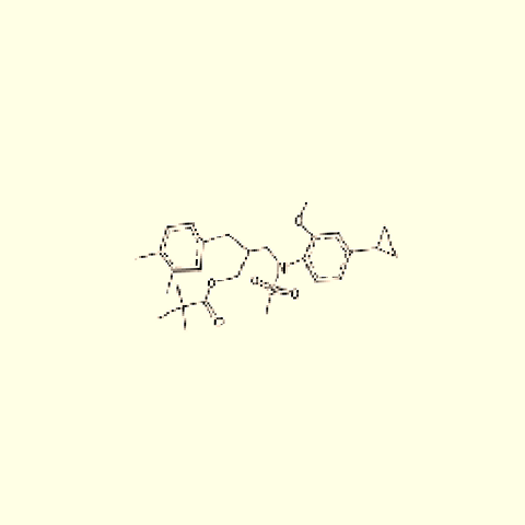 COc1cc(C2CC2)ccc1N(CC(COC(=O)C(C)(C)C)Cc1ccc(C)c(C)c1)S(C)(=O)=O